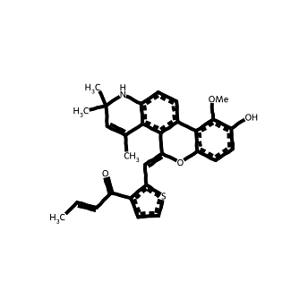 C/C=C/C(=O)c1ccsc1/C=C1\Oc2ccc(O)c(OC)c2-c2ccc3c(c21)C(C)=CC(C)(C)N3